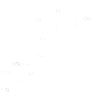 CC[C@@]1(O)CC[C@@]2(CC)c3ccc(C(=O)Nc4cccnc4C)cc3COC[C@H]2C1